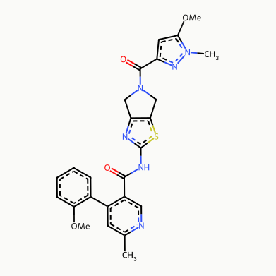 COc1ccccc1-c1cc(C)ncc1C(=O)Nc1nc2c(s1)CN(C(=O)c1cc(OC)n(C)n1)C2